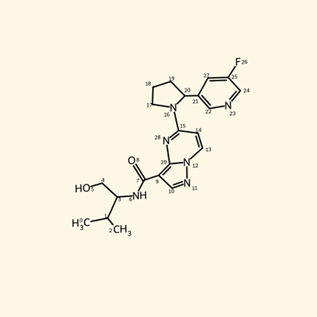 CC(C)C(CO)NC(=O)c1cnn2ccc(N3CCCC3c3cncc(F)c3)nc12